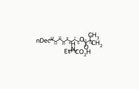 C=C(C)C(=O)OCCCCCCCCCCCCCCCCCC.CCNC(=O)O